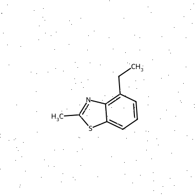 CCc1cccc2sc(C)nc12